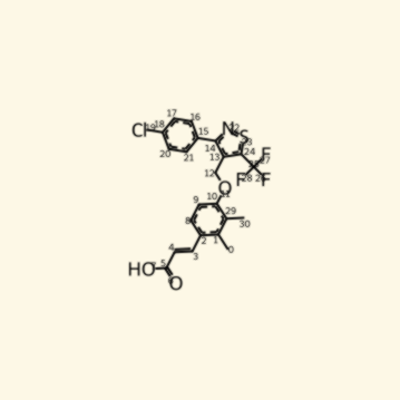 Cc1c(/C=C/C(=O)O)ccc(OCc2c(-c3ccc(Cl)cc3)nsc2C(F)(F)F)c1C